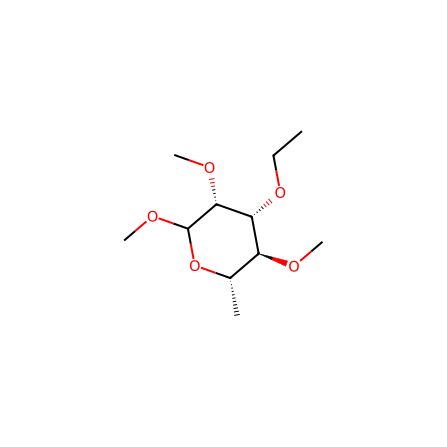 CCO[C@@H]1[C@@H](OC)[C@H](C)OC(OC)[C@@H]1OC